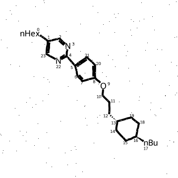 CCCCCCc1cnc(-c2ccc(OCCC[C@H]3CC[C@H](CCCC)CC3)cc2)nc1